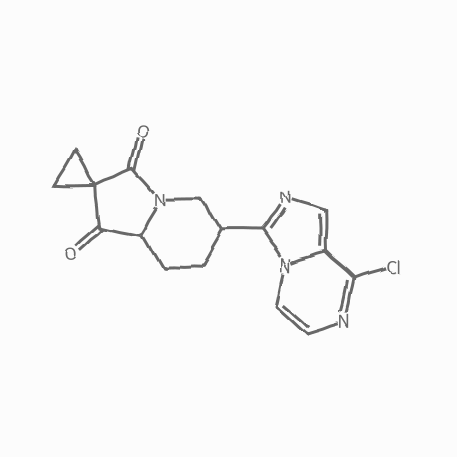 O=C1C2CCC(c3ncc4c(Cl)nccn34)CN2C(=O)C12CC2